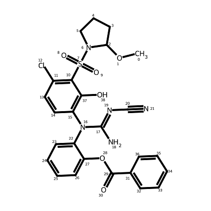 COC1CCCN1S(=O)(=O)c1c(Cl)ccc(N(C(N)=NC#N)c2ccccc2OC(=O)c2ccccc2)c1O